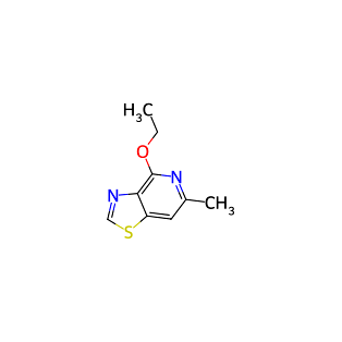 CCOc1nc(C)cc2scnc12